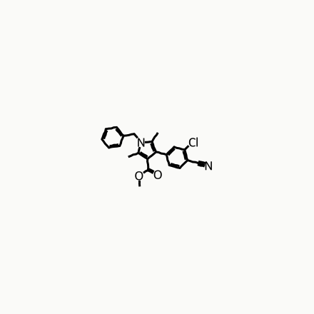 COC(=O)c1c(-c2ccc(C#N)c(Cl)c2)c(C)n(Cc2ccccc2)c1C